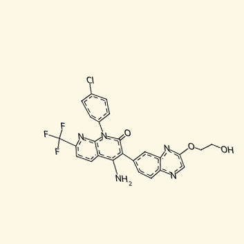 Nc1c(-c2ccc3ncc(OCCO)nc3c2)c(=O)n(-c2ccc(Cl)cc2)c2nc(C(F)(F)F)ccc12